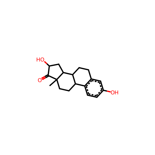 CC12CCC3c4ccc(O)cc4CCC3C1CC(O)C2=O